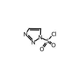 O=S(=O)(Cl)n1ccnn1